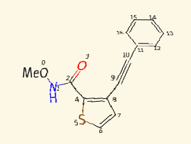 CONC(=O)c1sccc1C#Cc1ccccc1